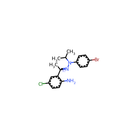 C/C(=N\N(c1ccc(Br)cc1)C(C)C)c1cc(Cl)ccc1N